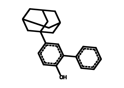 Oc1ccc(C23CC4CC(CC(C4)C2)C3)cc1-c1ccccc1